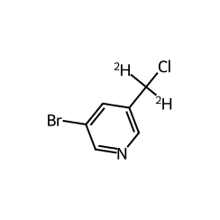 [2H]C([2H])(Cl)c1cncc(Br)c1